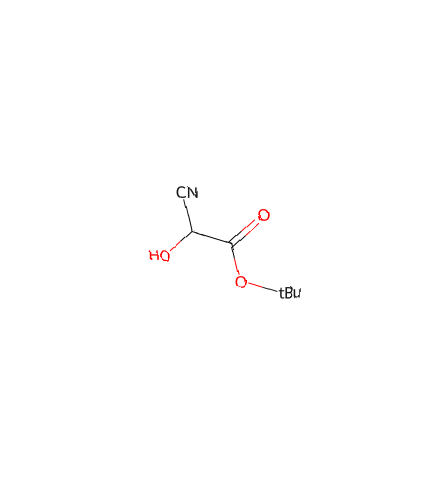 CC(C)(C)OC(=O)C(O)C#N